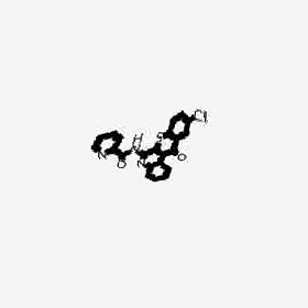 O=C(Nc1nc2ccccc2c2c(=O)c3cc(Cl)ccc3sc12)c1ccccn1